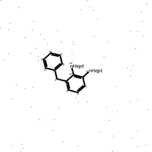 CCCCCCCc1cccc(Cc2ccccc2)c1CCCCCCC